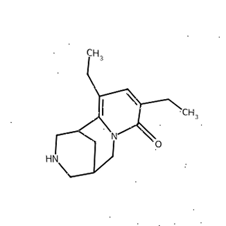 CCc1cc(CC)c(=O)n2c1C1CNCC(C1)C2